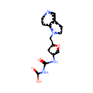 O=C(O)NC(=O)Nc1coc(Cn2ccc3cnccc32)c1